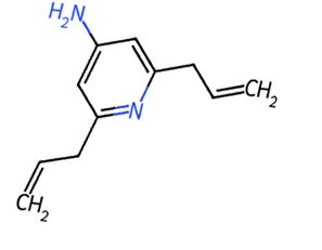 C=CCc1cc(N)cc(CC=C)n1